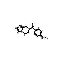 Nc1ccc(C(=O)N2CCn3ccnc3C2)cc1